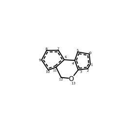 [c]1ccc2c(c1)-c1ccccc1CO2